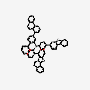 c1ccc(-c2ccc(-c3cccc4c3ccc3ccccc34)cc2N(c2ccc(-c3ccc4c(c3)oc3ccccc34)cc2)c2ccccc2-c2cccc3oc4c5ccccc5ccc4c23)cc1